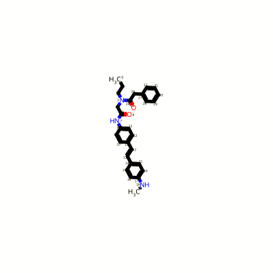 CCCN(CC(=O)Nc1ccc(/C=C/c2ccc(NC)cc2)cc1)C(=O)Cc1ccccc1